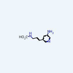 Nc1cncc(C=CCNC(=O)O)c1